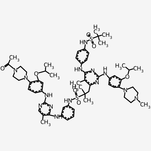 CC(=O)N1CCN(c2ccc(Nc3ncc(C)c(Nc4cccc(NS(=O)(=O)C(C)(C)Cc5nc(Nc6ccc(N7CCN(C)CC7)c(OC(C)C)c6)nc(Nc6ccc(NS(=O)(=O)C(C)(C)C)cc6)c5C)c4)n3)cc2OC(C)C)CC1